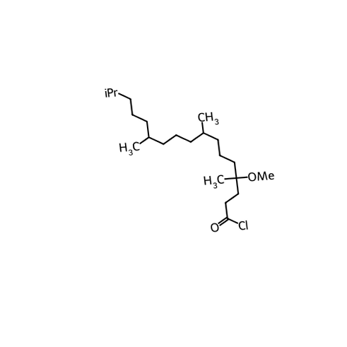 COC(C)(CCCC(C)CCCC(C)CCCC(C)C)CCC(=O)Cl